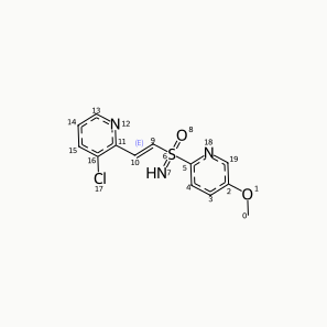 COc1ccc(S(=N)(=O)/C=C/c2ncccc2Cl)nc1